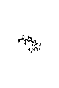 COc1nc(-c2ccnc(NC(=O)C3CC3)c2)sc1C(N)=O